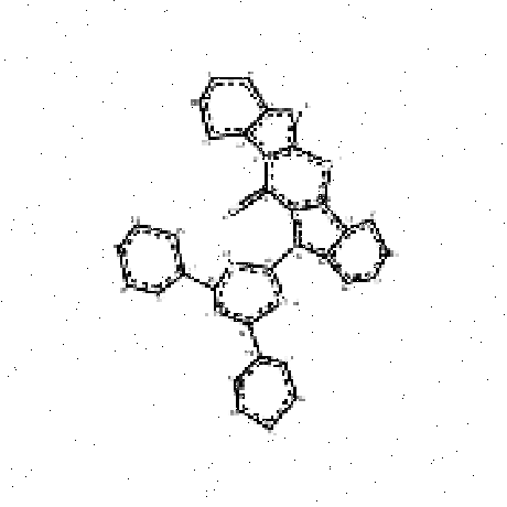 O=c1c2c(nc3sc4ccccc4n13)c1ccccc1n2-c1nc(-c2ccccc2)nc(-c2ccccc2)n1